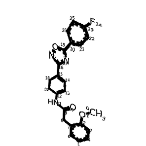 COc1ccccc1CC(=O)NC1=CC=C(c2noc(-c3ccc(F)cc3)n2)CC1